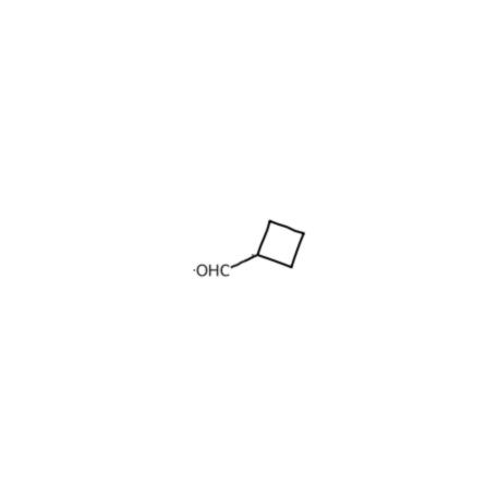 O=[C][C]1CCC1